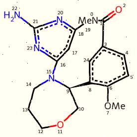 CNC(=O)c1ccc(OC)c([C@H]2COCCCN2c2cc(C)nc(N)n2)c1